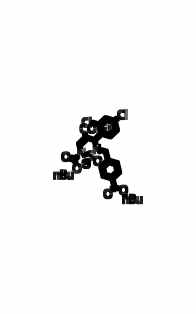 CCCCOC(=O)c1ccc(CN2C(c3ccc(Cl)cc3Cl)C(C(=O)OCC)=CN(C(=O)OCCCC)S2(=O)=O)cc1